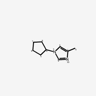 Cc1cn(C2CCCC2)[c]n1